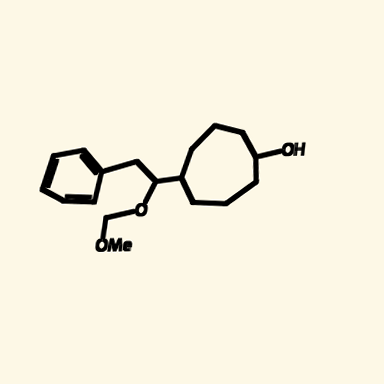 COCOC(Cc1ccccc1)C1CCCC(O)CCC1